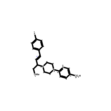 COCC(/C=C/c1ccc(F)cc1)N1CCN(c2ccc(C(=O)O)cn2)CC1